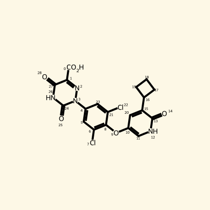 O=C(O)c1nn(-c2cc(Cl)c(Oc3c[nH]c(=O)c(C4CCC4)c3)c(Cl)c2)c(=O)[nH]c1=O